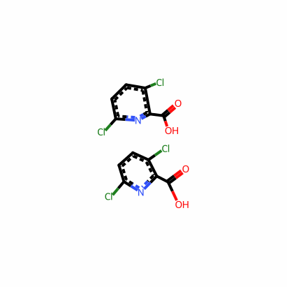 O=C(O)c1nc(Cl)ccc1Cl.O=C(O)c1nc(Cl)ccc1Cl